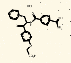 Cl.N=C(N)c1ccc(C(=O)NC(Cc2ccccc2)C(=O)c2ccc(OCC(=O)O)cc2)cc1